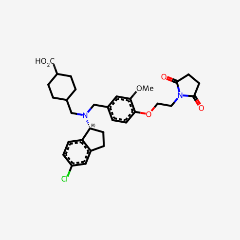 COc1cc(CN(CC2CCC(C(=O)O)CC2)[C@@H]2CCc3cc(Cl)ccc32)ccc1OCCN1C(=O)CCC1=O